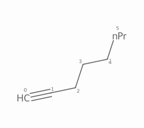 C#CCC[CH]CCC